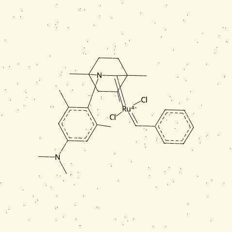 Cc1cc(N(C)C)cc(C)c1N1[C](=[Ru-4]([Cl])([Cl])=[CH]c2ccccc2)C2(C)CCC1(C)CC2C